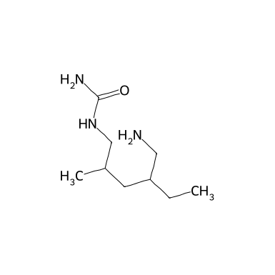 CCC(CN)CC(C)CNC(N)=O